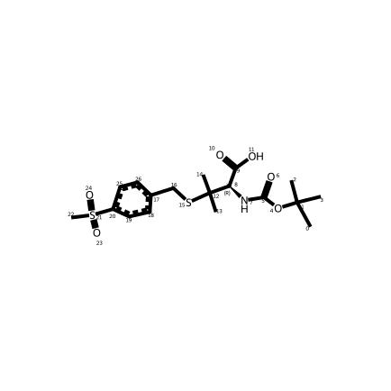 CC(C)(C)OC(=O)N[C@H](C(=O)O)C(C)(C)SCc1ccc(S(C)(=O)=O)cc1